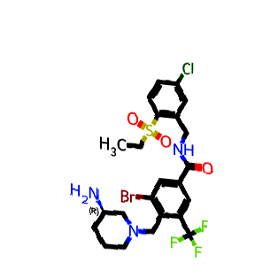 CCS(=O)(=O)c1ccc(Cl)cc1CNC(=O)c1cc(Br)c(CN2CCC[C@@H](N)C2)c(C(F)(F)F)c1